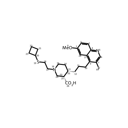 COc1ccc2ncc(F)c(CCC[C@H]3CCN(CCSC4CCC4)C[C@H]3C(=O)O)c2c1